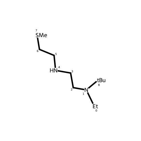 CCN(CCNCCSC)C(C)(C)C